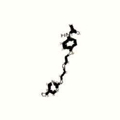 CC(=O)Nc1ccc(OCCOCCOc2ncc(Cl)cn2)cc1